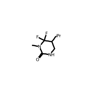 CC(C)C1CNC(=O)N(C)C1(F)F